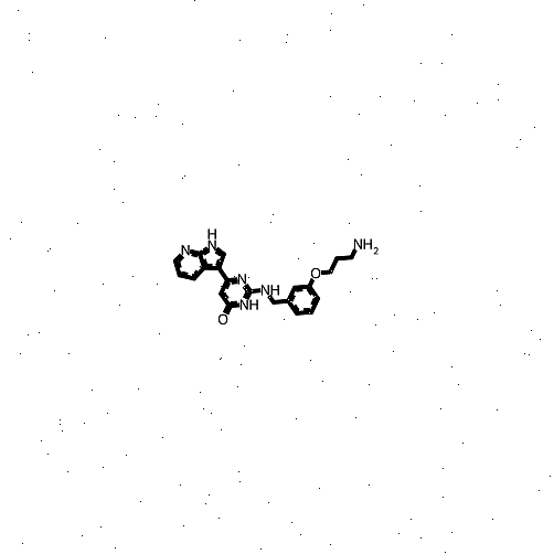 NCCCOc1cccc(CNc2nc(-c3c[nH]c4ncccc34)cc(=O)[nH]2)c1